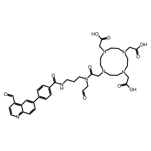 O=CCN(CCCNC(=O)c1ccc(-c2ccc3nccc(C=O)c3c2)cc1)C(=O)CN1CCN(CC(=O)O)CCN(CC(=O)O)CCN(CC(=O)O)CC1